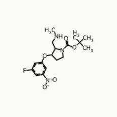 CNCC1C(Oc2cc(F)cc([N+](=O)[O-])c2)CCN1C(=O)OC(C)(C)C